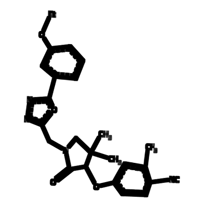 [C-]#[N+]c1ccc(OC2C(=O)N(Cc3nnc(-c4cccc(OCC)c4)o3)CC2(C)C)cc1C(F)(F)F